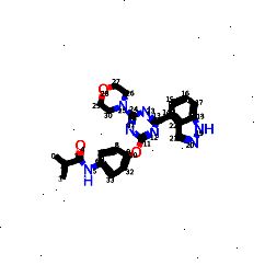 CC(C)C(=O)Nc1ccc(Oc2nc(-c3cccc4[nH]ncc34)nc(N3CCOCC3)n2)cc1